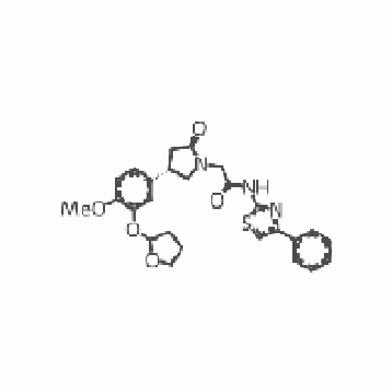 COc1ccc([C@@H]2CC(=O)N(CC(=O)Nc3nc(-c4ccccc4)cs3)C2)cc1OC1CCCO1